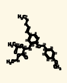 CCCC=Cc1ccc(OCc2ccc(OC)cc2)c(CC(OC(C)=O)C(=O)OCC)c1